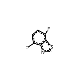 Fc1ccc(F)c2s[c]nc12